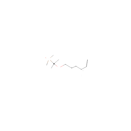 CC[C@H](C)CCCOC(C)(C)[SH](C)(C)=O